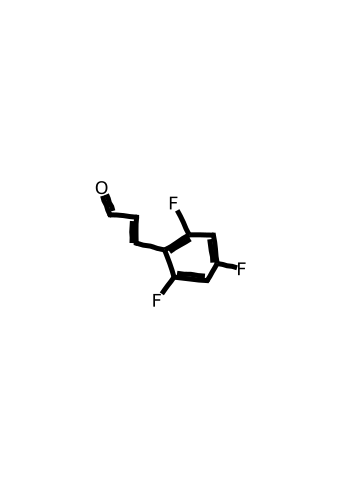 O=C/C=C/c1c(F)cc(F)cc1F